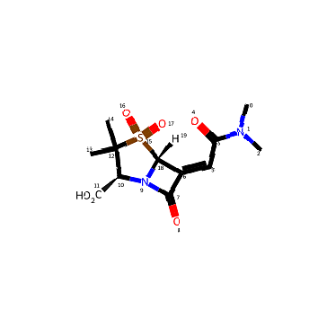 CN(C)C(=O)/C=C1/C(=O)N2[C@@H](C(=O)O)C(C)(C)S(=O)(=O)[C@H]12